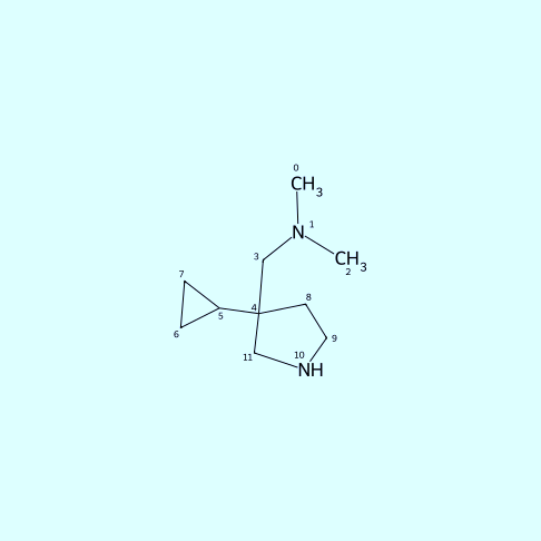 CN(C)CC1(C2CC2)CCNC1